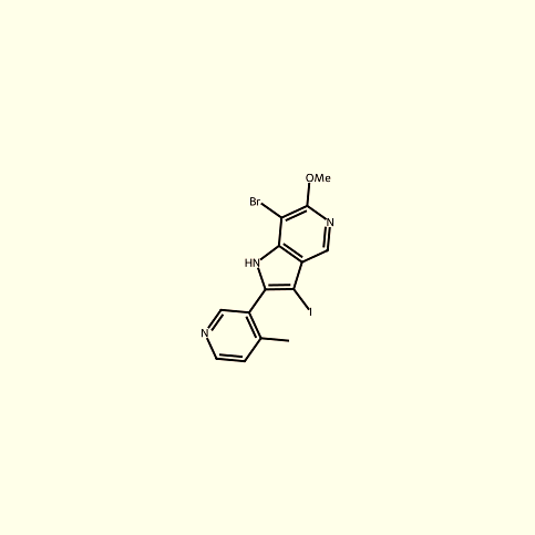 COc1ncc2c(I)c(-c3cnccc3C)[nH]c2c1Br